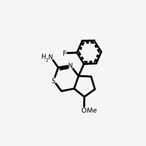 COC1CCC2(c3ccccc3F)N=C(N)SCC12